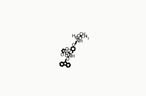 CC(C)(C)OC(=O)NCCOC1CCC(C[C@H](NC(=O)OCC2c3ccccc3-c3ccccc32)C(=O)ON2C(=O)CCC2=O)CC1